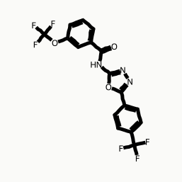 O=C(Nc1nnc(-c2ccc(C(F)(F)F)cc2)o1)c1cccc(OC(F)(F)F)c1